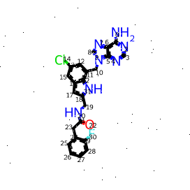 Nc1ncnc2c1ncn2Cc1cc(Cl)cc2cc(CNC(=O)Cc3ccccc3F)[nH]c12